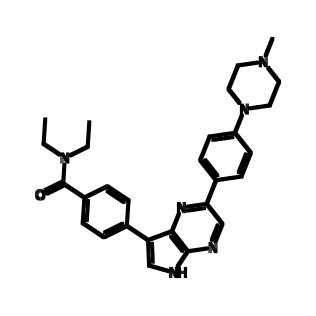 CCN(CC)C(=O)c1ccc(-c2c[nH]c3ncc(-c4ccc(N5CCN(C)CC5)cc4)nc23)cc1